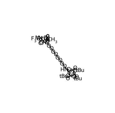 COc1ccccc1N(C)S(=O)(=O)c1cc(-c2cnc(C(F)(F)F)cc2C#N)c(Cl)cc1OCCOCCOCCOCCOCCOCCOCCOCCOCCNC(=O)CN1CCN(CC(=O)OC(C)(C)C)CCN(CC(=O)OC(C)(C)C)CCN(CC(=O)OC(C)(C)C)CC1